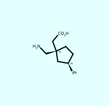 CC(C)[C@@H]1CC[C@@](CN)(CC(=O)O)C1